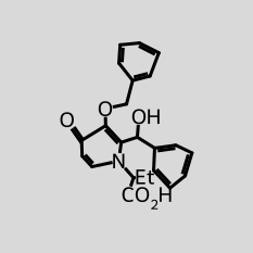 CCC(C(=O)O)n1ccc(=O)c(OCc2ccccc2)c1C(O)c1ccccc1